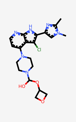 Cc1nc(-c2[nH]c3nccc(N4CCN(C(O)OC5COC5)CC4)c3c2Cl)cn1C